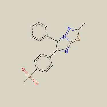 Cc1nn2c(-c3ccccc3)c(-c3ccc(S(C)(=O)=O)cc3)nc2s1